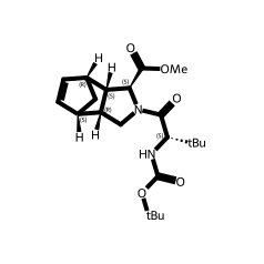 COC(=O)[C@@H]1[C@@H]2[C@H](CN1C(=O)[C@@H](NC(=O)OC(C)(C)C)C(C)(C)C)[C@@H]1C=C[C@H]2C1